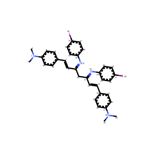 CN(C)c1ccc(C=CC(CC(C=Cc2ccc(N(C)C)cc2)=Nc2ccc(I)cc2)=Nc2ccc(I)cc2)cc1